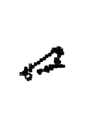 CCC(CC)(CC1CCCCCCCCCCCCC1)SC1CC(=O)N(CCC(=O)NCCOCCOCCOCCOCCOCCOCCOCCOCCC(=O)N[C@H](C(=O)N[C@@H](C)C(=O)Nc2ccc(C3=CN4C(=O)c5cc(OC)c(OCCCOc6cc7c(cc6OC)C(=O)N6C=C(c8ccc9c(c8)OCO9)CC6C=N7)cc5N=C[C@@H]4C3)cc2)C(C)C)C1=O